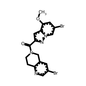 COc1cc(Br)cn2nc(C(=O)N3CCc4ncc(Br)cc4C3)cc12